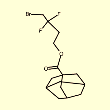 O=C(OCCC(F)(F)CBr)C12CC3CC(CC(C3)C1)C2